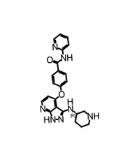 O=C(Nc1ccccn1)c1ccc(Oc2ccnc3[nH]nc(N[C@@H]4CCCNC4)c23)cc1